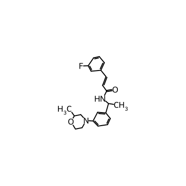 CC1CN(c2cccc(C(C)NC(=O)/C=C/c3cccc(F)c3)c2)CCO1